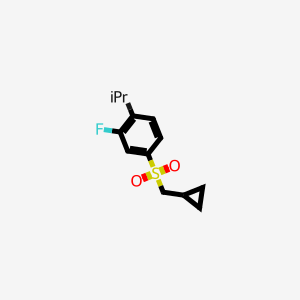 CC(C)c1ccc(S(=O)(=O)CC2CC2)cc1F